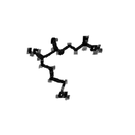 C=C(CCCCC)C(=O)OCCNC